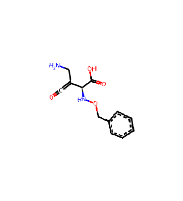 NCC(=C=O)[C@H](NOCc1ccccc1)C(=O)O